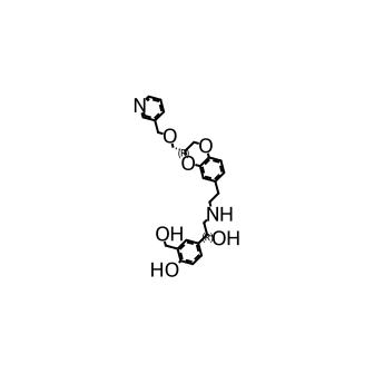 OCc1cc([C@@H](O)CNCCc2ccc3c(c2)O[C@H](COCc2cccnc2)CO3)ccc1O